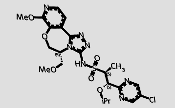 COC[C@@H]1COc2c(ccnc2OC)-c2nnc(NS(=O)(=O)[C@@H](C)[C@@H](OC(C)C)c3ncc(Cl)cn3)n21